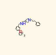 FC(F)(F)Oc1cccc(CNCC2C3CN(CCCc4ccccc4)CC23)c1